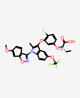 CC[C@H](Oc1ccc(F)c(Oc2c(C)n(-c3noc4cc(OC)ccc34)c3ccc(OC(F)(F)F)cc23)c1)C(=O)O